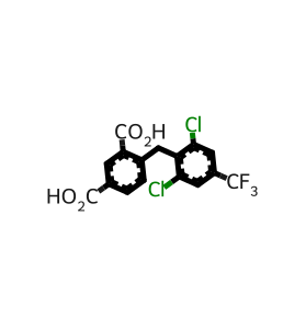 O=C(O)c1ccc(Cc2c(Cl)cc(C(F)(F)F)cc2Cl)c(C(=O)O)c1